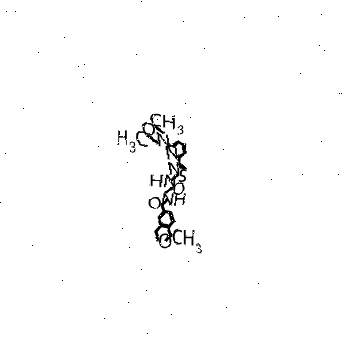 CC1OCCc2cc(C(=O)NCC(=O)Nc3nc(-c4cccc(N5C[C@@H](C)O[C@@H](C)C5)n4)cs3)ccc21